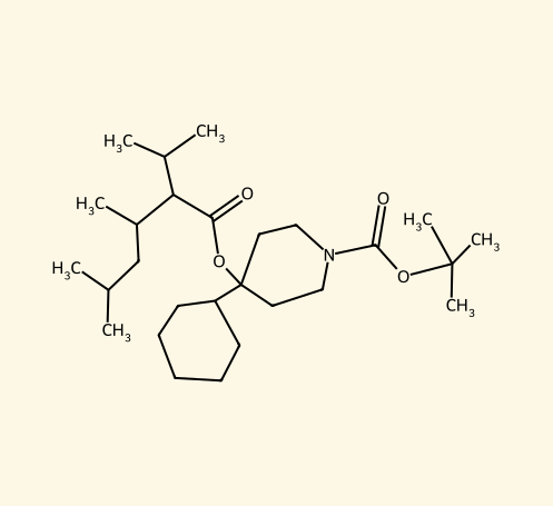 CC(C)CC(C)C(C(=O)OC1(C2CCCCC2)CCN(C(=O)OC(C)(C)C)CC1)C(C)C